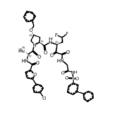 CC[C@@H](C)[C@H](NC(=O)c1ccc(-c2ccc(Cl)cc2)o1)C(=O)N1C[C@H](OCc2ccccc2)C[C@H]1C(=O)N[C@@H](CC(F)F)C(=O)C(=O)NCC(=O)NS(=O)(=O)c1cccc(-c2ccccc2)c1